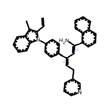 C=Cc1c(C)c2ccccc2n1-c1ccc(C(/C=C(\N)c2cccc3ccccc23)=C/Cc2cccnc2)cc1